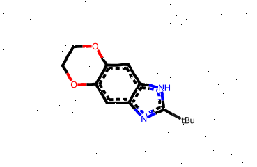 CC(C)(C)c1nc2cc3c(cc2[nH]1)OCCO3